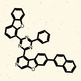 c1ccc(-c2nc(-c3cccc4c3oc3ccccc34)nc(-c3cncc4oc5cc(-c6ccc7ccccc7c6)ccc5c34)n2)cc1